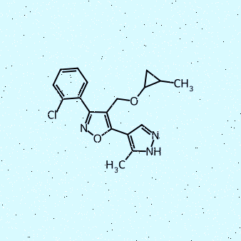 Cc1[nH]ncc1-c1onc(-c2ccccc2Cl)c1COC1CC1C